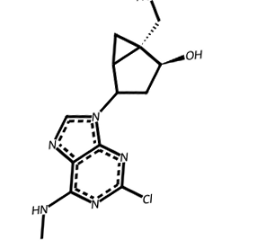 CNc1nc(Cl)nc2c1ncn2C1C[C@H](O)[C@]2(CO)CC12